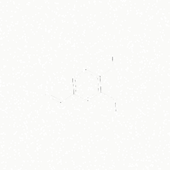 COc1cc([C]=O)ccc1SC